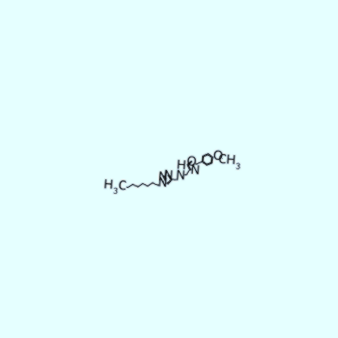 CCCCCCCCn1cc(CNCc2coc(-c3ccc(OC)cc3)n2)nn1